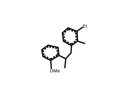 CCc1cccc(CC(C)c2ccccc2OC)c1C